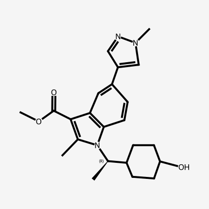 COC(=O)c1c(C)n([C@H](C)C2CCC(O)CC2)c2ccc(-c3cnn(C)c3)cc12